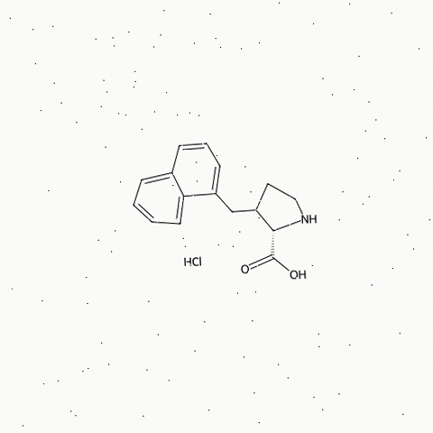 Cl.O=C(O)[C@H]1NCCC1Cc1cccc2ccccc12